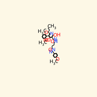 CCCCc1nc(O)c(-c2nnc(CCc3nc(-c4ccc(OC)cc4)no3)o2)c(O)c1-c1c(OC)cccc1OC